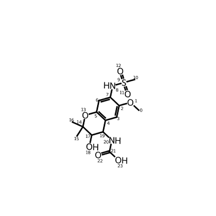 COc1cc2c(cc1NS(C)(=O)=O)OC(C)(C)C(O)C2NC(=O)O